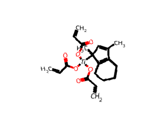 C=CC(=O)[O][Ti]([O]C(=O)C=C)([O]C(=O)C=C)[C]1(C)C=C(C)C2=C1CCCC2